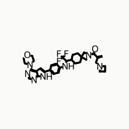 C=C(CN1CCC1)C(=O)N1CC2(CCC(C(Nc3ccc(-c4cc5c(N6CCOCC6)ncnc5[nH]4)cc3)C(F)(F)F)CC2)C1